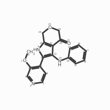 COc1cnccc1-c1[nH]c2c(c1Nc1ccccc1)C(=O)COC2